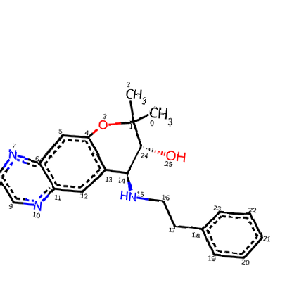 CC1(C)Oc2cc3nccnc3cc2[C@H](NCCc2ccccc2)[C@H]1O